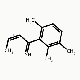 C/C=C\C(=N)c1c(C)ccc(C)c1C